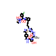 Cc1ncsc1-c1ccc([C@H](C)NC(=O)C2CC(O)CN2C(=O)[C@@H](NC(=O)CN2CCN(CCCC#Cc3cccc4c3C(=O)N(C(C(=O)Nc3nccs3)c3cc(F)ccc3O)C4)CC2)C(C)(C)C)cc1